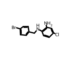 Nc1cc(Cl)ccc1NCc1ccc(Br)cc1